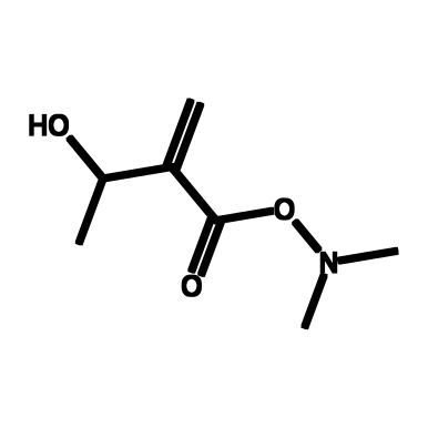 C=C(C(=O)ON(C)C)C(C)O